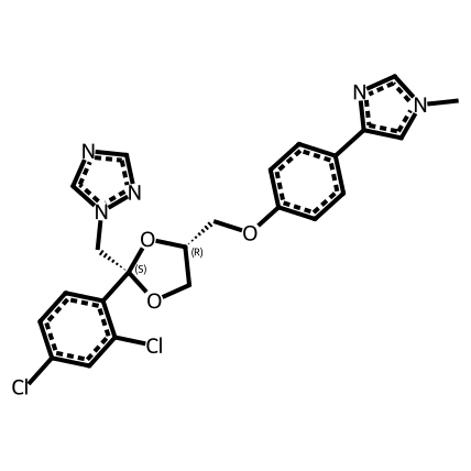 Cn1cnc(-c2ccc(OC[C@@H]3CO[C@@](Cn4cncn4)(c4ccc(Cl)cc4Cl)O3)cc2)c1